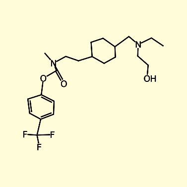 CCN(CCO)CC1CCC(CCN(C)C(=O)Oc2ccc(C(F)(F)F)cc2)CC1